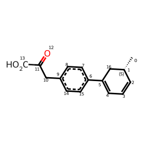 C[C@@H]1C=CC=C(c2ccc(CC(=O)C(=O)O)cc2)C1